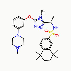 CCn1c(Oc2cccc(N3CCN(C)CC3)c2)nnc1[C@@H](C)NS(=O)(=O)c1ccc2c(c1)C(C)(C)CCC2(C)C